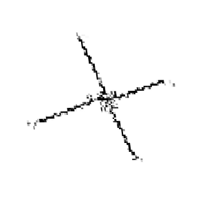 CCCCCCCCCCCCSCCC(=O)OCC(C)(C)C(OC(=O)CCSCCCCCCCCCC)(OC(=O)CCSCCCCCCCCCC)OC(=O)CCSCCCCCCCCCCCC